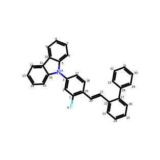 Fc1cc(-n2c3ccccc3c3ccccc32)ccc1C=Cc1ccccc1-c1ccccc1